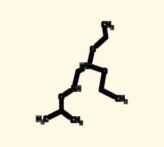 CCO[SiH](CNOC(C)C)OCC